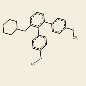 COc1ccc(-c2cccc(CN3CCCCC3)c2-c2ccc(OC)cc2)cc1